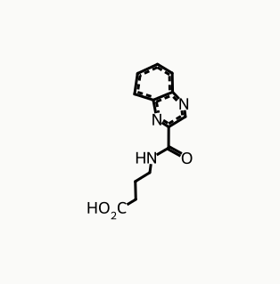 O=C(O)CCCNC(=O)c1cnc2ccccc2n1